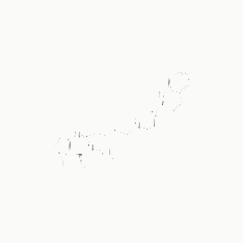 Nn1c(CCCCN2CCN(c3ccc4ccccc4n3)CC2)nc2cc[nH]c2c1=O